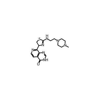 CN1CCN(CCNC2=NC(c3nccc4c(=O)[nH]cnc34)CS2)CC1